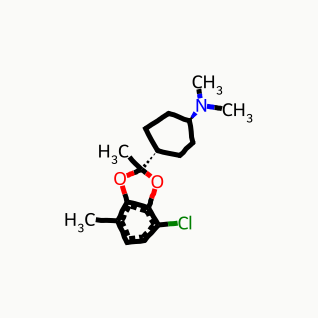 Cc1ccc(Cl)c2c1OC(C)([C@H]1CC[C@H](N(C)C)CC1)O2